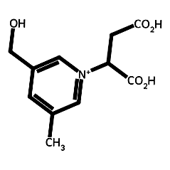 Cc1cc(CO)c[n+](C(CC(=O)O)C(=O)O)c1